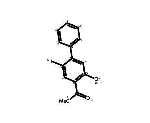 COC(=O)c1cc(I)c(-c2ccccc2)cc1C